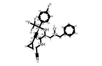 N#CCNC(=O)[C@H](C[S+]([O-])Cc1ccccc1)N[C@@](C#CC1CC1)(c1ccc(F)cc1)C(F)(F)F